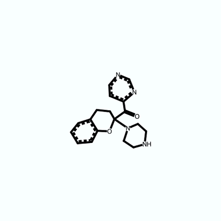 O=C(c1ccncn1)C1(N2CCNCC2)CCc2ccccc2O1